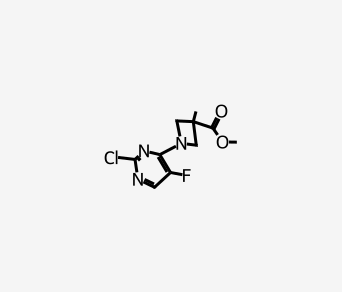 COC(=O)C1(C)CN(c2nc(Cl)ncc2F)C1